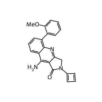 COc1ccccc1-c1cccc2c(N)c3c(nc12)CN(C1=CC=C1)C3=O